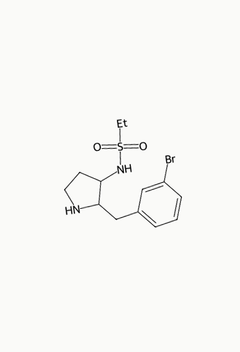 CCS(=O)(=O)NC1CCNC1Cc1cccc(Br)c1